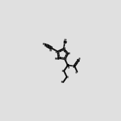 CCCN(C(C)=O)c1cc(Br)c(C#N)s1